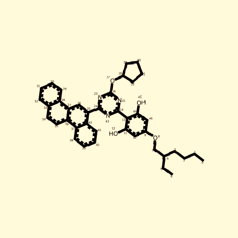 CCCCC(CC)COc1cc(O)c(-c2nc(OC3CCCC3)nc(-c3cc4c5ccccc5ccc4c4ccccc34)n2)c(O)c1